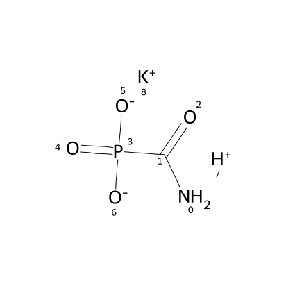 NC(=O)P(=O)([O-])[O-].[H+].[K+]